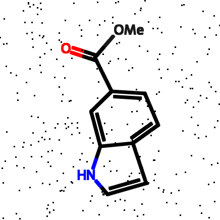 COC(=O)c1ccc2c[c][nH]c2c1